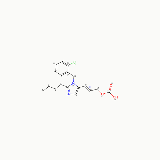 CCCCc1ncc(/C=C/COC(=O)O)n1Cc1ccccc1Cl